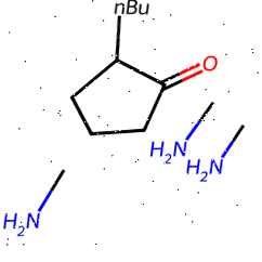 CCCCC1CCCC1=O.CN.CN.CN